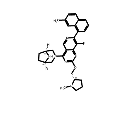 Cc1ccc2cccc(-c3ncc4c(N5C[C@H]6CC[C@@H](C5)N6)nc(OC[C@@H]5CCCN5C)nc4c3F)c2c1